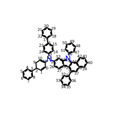 C1=CC(c2ccccc2)CC=C1N(c1ccc(-c2ccccc2)cc1)c1ccc2c3c(-c4ccccc4)cc4ccccc4c3n(-c3ccccc3)c2c1